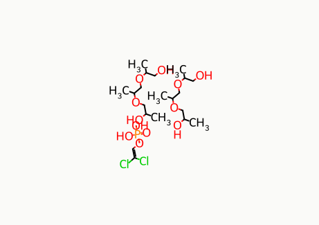 CC(O)COC(C)COC(C)CO.CC(O)COC(C)COC(C)CO.O=P(O)(O)OC=C(Cl)Cl